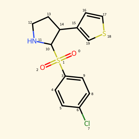 O=S(=O)(c1ccc(Cl)cc1)C1NCCC1c1ccsc1